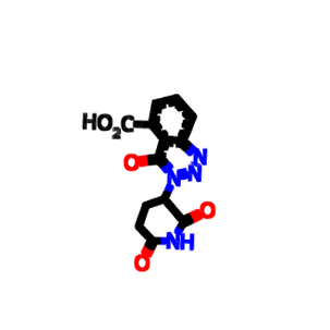 O=C1CCC(n2nnc3cccc(C(=O)O)c3c2=O)C(=O)N1